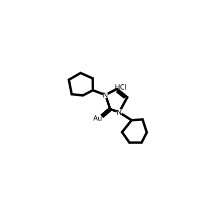 Cl.[Au]=[c]1n(C2CCCCC2)ccn1C1CCCCC1